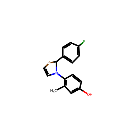 Cc1cc(O)ccc1N1C=CSC1c1ccc(F)cc1